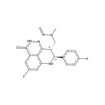 C=NN(C)C[C@H]1c2n[nH]c(=O)c3cc(F)cc(c23)N[C@@H]1c1ccc(F)cc1